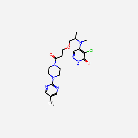 CC(COCCC(=O)N1CCN(c2ncc(C(F)(F)F)cn2)CC1)N(C)c1cn[nH]c(=O)c1Cl